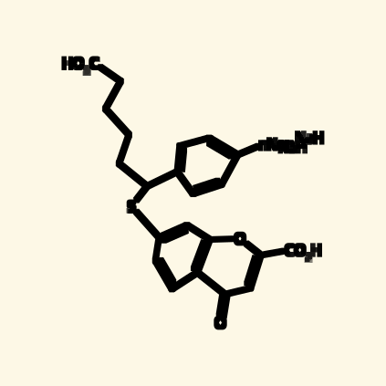 CCCCCCCCCc1ccc(C(CCCCC(=O)O)Sc2ccc3c(=O)cc(C(=O)O)oc3c2)cc1.[NaH].[NaH]